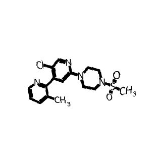 Cc1cccnc1-c1cc(N2CCN(S(C)(=O)=O)CC2)ncc1Cl